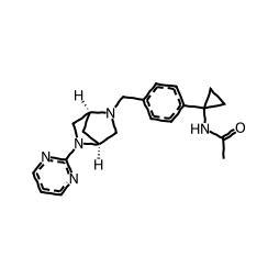 CC(=O)NC1(c2ccc(CN3C[C@@H]4C[C@H]3CN4c3ncccn3)cc2)CC1